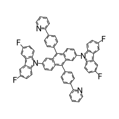 Fc1ccc2c(c1)c1cc(F)ccc1n2-c1ccc2c(-c3ccc(-c4ccccn4)cc3)c3cc(-n4c5ccc(F)cc5c5cc(F)ccc54)ccc3c(-c3ccc(-c4ccccn4)cc3)c2c1